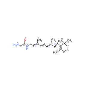 CC1=C(/C=C/C(C)=C/C=C/C(C)=C/CNC(=O)CN)C(C)(C)CCC1